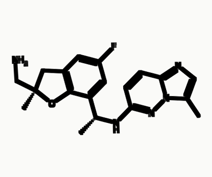 Cc1cnc2ccc(N[C@H](C)c3cc(F)cc4c3O[C@@](C)(CN)C4)nn12